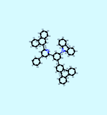 c1ccc(-c2cc(-c3cc(-c4ccc5c6ccccc6c6ccccc6c5c4)cc(-n4c5ccccc5c5ccccc54)c3)nc(-c3cc4ccccc4c4ccccc34)c2)cc1